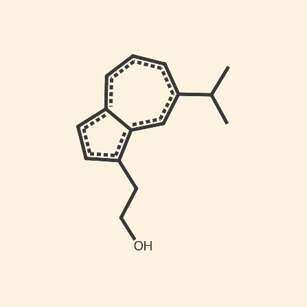 CC(C)c1cccc2ccc(CCO)c-2c1